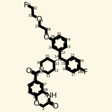 O=C1COc2ccc(C(=O)N3CCC([C@@H](c4ccc(F)cc4)c4cccc(OCCOCCF)c4)CC3)cc2N1